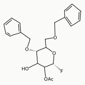 CC(=O)OC1C(O)[C@H](OCc2ccccc2)C(COCc2ccccc2)O[C@@H]1F